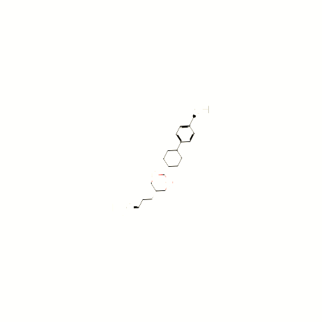 C#Cc1ccc(C2CCC([C@H]3OC[C@H](CCC=C)CO3)CC2)cc1